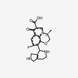 C[C@H]1COc2c(C3NCCC4=C3CNC4)c(F)cc3c(=O)c(C(=O)O)cn1c23